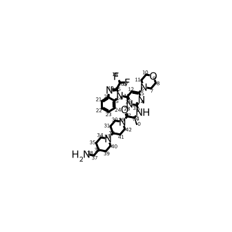 C[C@H](Nc1nc(N2CCOCC2)cc(-n2c(C(F)F)nc3ccccc32)n1)C(=O)N1CCC(N2CCC(CN)CC2)CC1